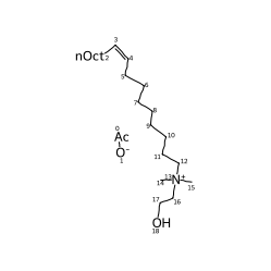 CC(=O)[O-].CCCCCCCC/C=C\CCCCCCCC[N+](C)(C)CCO